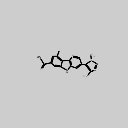 Cc1nnn(C)c1-c1cnc2c(c1)[nH]c1cc(C(=O)O)cc(F)c12